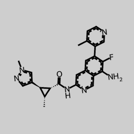 Cc1ccncc1-c1cc2cc(NC(=O)[C@@H]3[C@H](C)[C@H]3c3cnn(C)c3)ncc2c(N)c1F